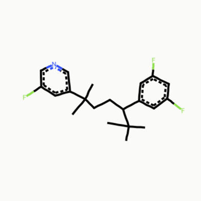 CC(C)(CCC(c1cc(F)cc(F)c1)C(C)(C)C)c1cncc(F)c1